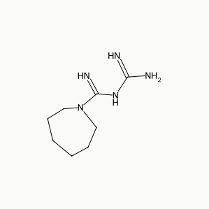 N=C(N)NC(=N)N1CCCCCC1